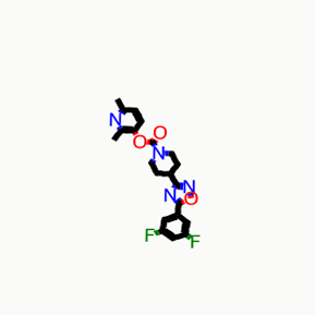 Cc1ccc(OC(=O)N2CCC(c3noc(-c4cc(F)cc(F)c4)n3)CC2)c(C)n1